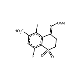 CON=C1CCS(=O)(=O)c2c(F)cc(C(=O)O)c(C)c21